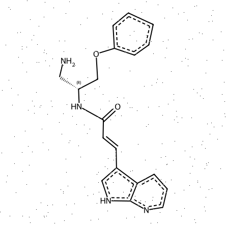 NC[C@H](COc1ccccc1)NC(=O)C=Cc1c[nH]c2ncccc12